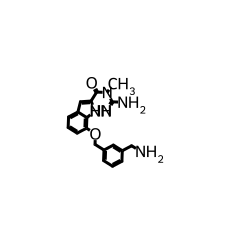 CN(C(=N)N)C(=O)c1cc2cccc(OCc3cccc(CN)c3)c2[nH]1